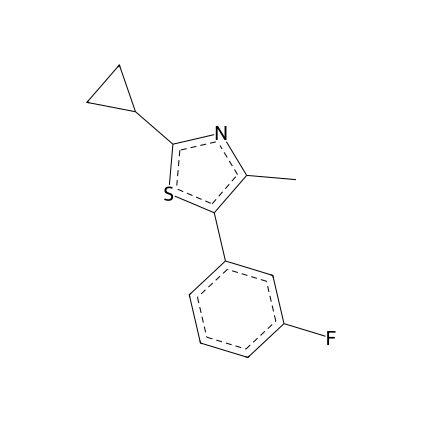 Cc1nc(C2CC2)sc1-c1cccc(F)c1